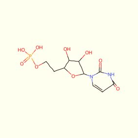 O=c1ccn(C2OC(CCOP(=O)(O)O)C(O)C2O)c(=O)[nH]1